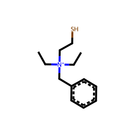 CC[N+](CC)(CCS)Cc1ccccc1